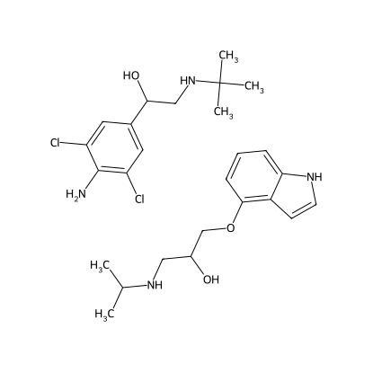 CC(C)(C)NCC(O)c1cc(Cl)c(N)c(Cl)c1.CC(C)NCC(O)COc1cccc2[nH]ccc12